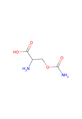 NC(=O)OCC(N)C(=O)O